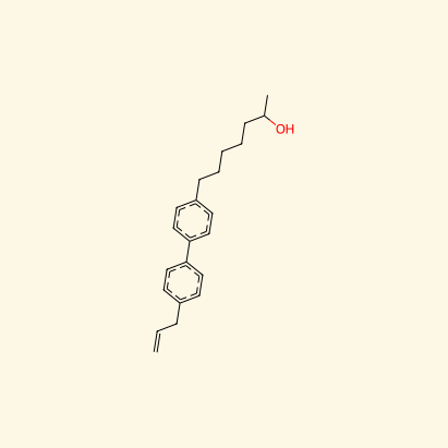 C=CCc1ccc(-c2ccc(CCCCCC(C)O)cc2)cc1